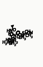 BC(B)(B)NC(=O)c1cnc(NC(=O)C2CC2)cc1Nc1cccc(-c2ncc(C(C)(C)O)s2)c1OC